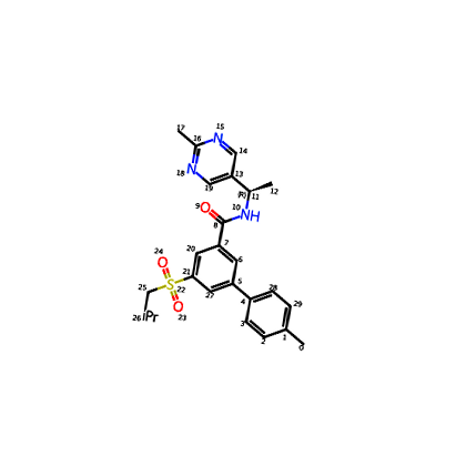 Cc1ccc(-c2cc(C(=O)N[C@H](C)c3cnc(C)nc3)cc(S(=O)(=O)CC(C)C)c2)cc1